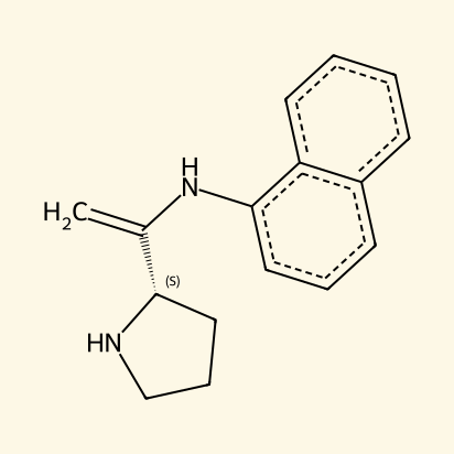 C=C(Nc1cccc2ccccc12)[C@@H]1CCCN1